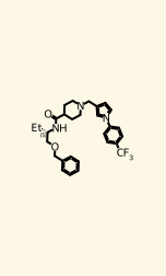 CC[C@@H](COCc1ccccc1)NC(=O)C1CCN(Cc2ccn(-c3ccc(C(F)(F)F)cc3)c2)CC1